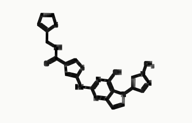 Cn1cc(-n2ccc3nc(Nc4cc(C(=O)NCc5cccs5)cs4)nc(O)c32)cn1